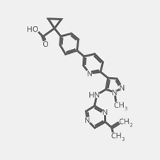 C=C(C)c1cncc(Nc2c(-c3ccc(-c4ccc(C5(C(=O)O)CC5)cc4)cn3)cnn2C)n1